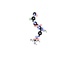 Cn1nc2c(=O)n(CC3(O)CCN(Cc4ccc(N5CCCC5=O)cc4Cl)CC3)cnc2c1-c1ccc(CNC(=O)OC(C)(C)C)cc1